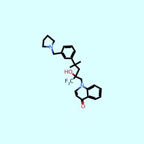 CC(C)(CC(O)(Cn1ccc(=O)c2ccccc21)C(F)(F)F)c1cccc(CN2CCCC2)c1